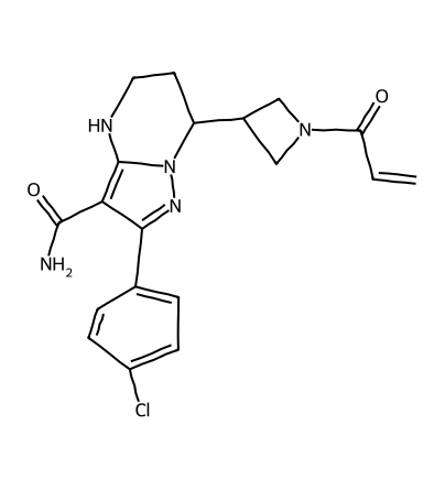 C=CC(=O)N1CC(C2CCNc3c(C(N)=O)c(-c4ccc(Cl)cc4)nn32)C1